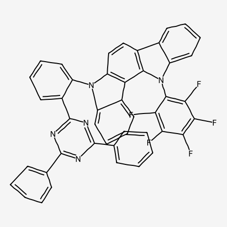 Fc1c(F)c(F)c(-n2c3ccccc3c3ccc4c(c5ccccc5n4-c4ccccc4-c4nc(-c5ccccc5)nc(-c5ccccc5)n4)c32)c(F)c1F